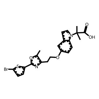 Cc1oc(-c2ccc(Br)s2)nc1CCOc1ccc2c(ccn2C(C)(C)C(=O)O)c1